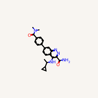 CC(Nc1c(C(N)=O)nnc2cc(-c3ccc(C(=O)N(C)C)cc3)ccc12)C1CC1